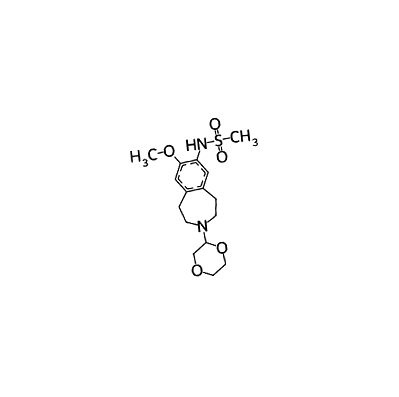 COc1cc2c(cc1NS(C)(=O)=O)CCN(C1COCCO1)CC2